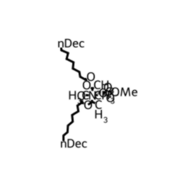 CCCCCCCCCCCCCCCCCC(=O)OC(C)[N+](C)(C)C(C)OC(=O)CCCCCCCCCCCCCCCCC.COS(=O)(=O)[O-]